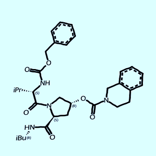 CC[C@@H](C)NC(=O)[C@@H]1C[C@@H](OC(=O)N2CCc3ccccc3C2)CN1C(=O)[C@@H](NC(=O)OCc1ccccc1)C(C)C